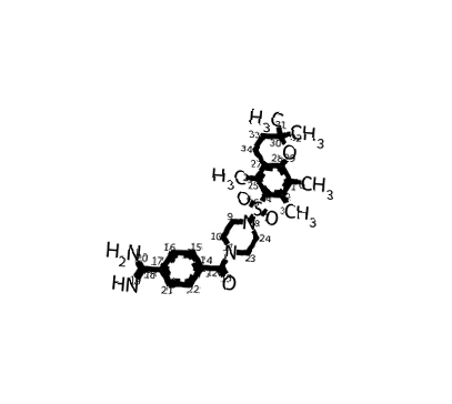 Cc1c(C)c(S(=O)(=O)N2CCN(C(=O)c3ccc(C(=N)N)cc3)CC2)c(C)c2c1OC(C)(C)CC2